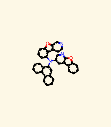 c1ccc2c(c1)cc(N(c1cnc3oc4ccccc4c3c1)c1cccc3oc4cnccc4c13)c1ccccc12